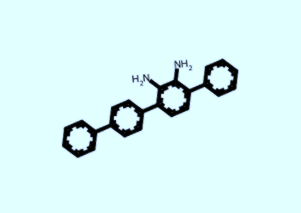 Nc1c(-c2ccccc2)ccc(-c2ccc(-c3ccccc3)cc2)c1N